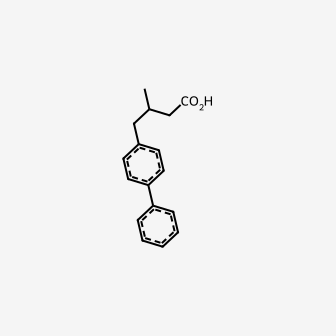 CC(CC(=O)O)Cc1ccc(-c2ccccc2)cc1